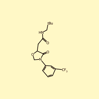 CC(C)(C)CNC(=O)CC1OCN(c2cccc(C(F)(F)F)c2)C1=O